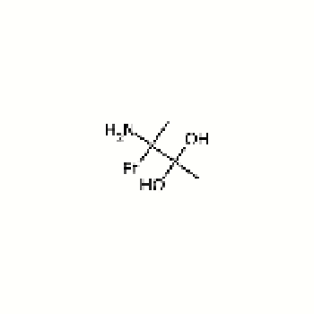 CCC(C)(N)C(C)(O)O